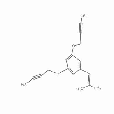 CC#CCOc1cc(C=C(C)C)cc(OCC#CC)c1